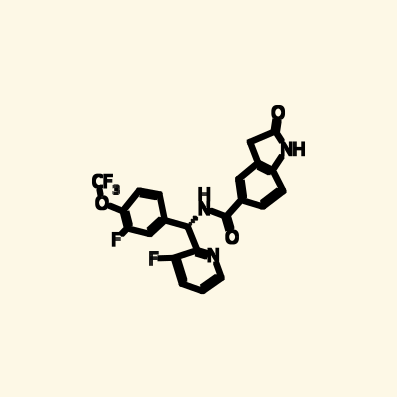 O=C1Cc2cc(C(=O)N[C@@H](c3ccc(OC(F)(F)F)c(F)c3)c3ncccc3F)ccc2N1